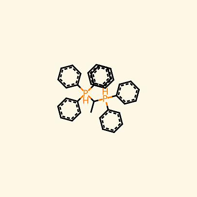 CC([PH](c1ccccc1)(c1ccccc1)c1ccccc1)[PH](c1ccccc1)(c1ccccc1)c1ccccc1